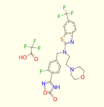 O=C(O)C(F)(F)F.O=c1[nH]c(-c2ccc(CN(CCN3CCOCC3)c3nc4ccc(C(F)(F)F)cc4s3)cc2F)no1